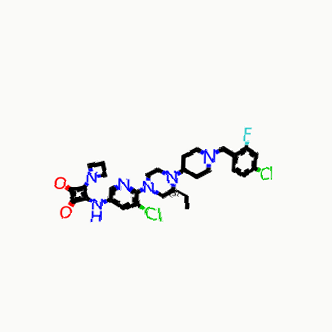 CC[C@H]1CN(c2ncc(Nc3c(N4CCC4)c(=O)c3=O)cc2Cl)CCN1C1CCN(Cc2ccc(Cl)cc2F)CC1